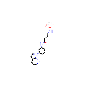 CC(C)(C)OC(=O)NCCCC(=O)Nc1cccc(-n2ccc3cccnc32)c1